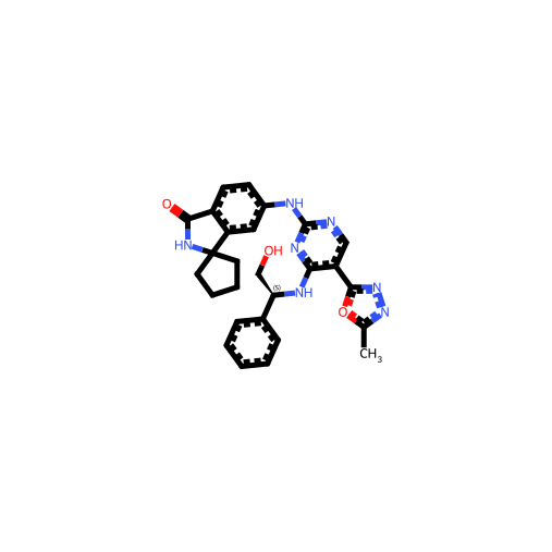 Cc1nnc(-c2cnc(Nc3ccc4c(c3)C3(CCCC3)NC4=O)nc2N[C@H](CO)c2ccccc2)o1